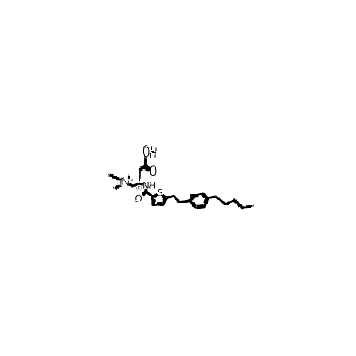 CCCCCc1ccc(CCc2ccc(C(=O)N[C@H](CC(=O)O)C[N+](C)(C)C)s2)cc1